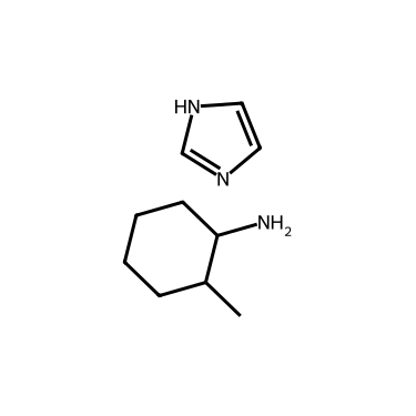 CC1CCCCC1N.c1c[nH]cn1